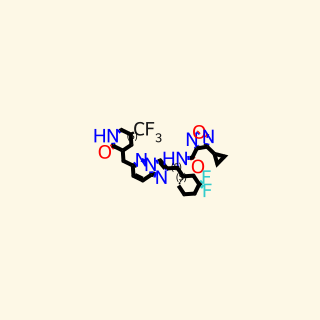 O=C(N[C@H](c1cn2nc(CC3C[C@H](C(F)(F)F)CNC3=O)ccc2n1)[C@H]1CCCC(F)(F)C1)c1nonc1C1CC1